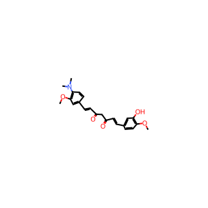 COc1ccc(C=CC(=O)CC(=O)C=Cc2ccc(N(C)C)c(OC)c2)cc1O